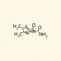 Cc1nc(C(=O)NC(N)=O)sc1C